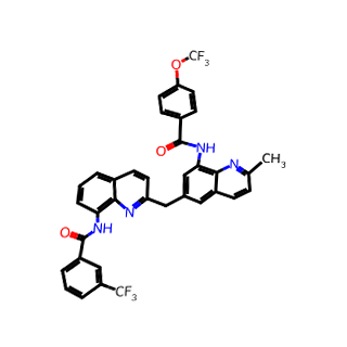 Cc1ccc2cc(Cc3ccc4cccc(NC(=O)c5cccc(C(F)(F)F)c5)c4n3)cc(NC(=O)c3ccc(OC(F)(F)F)cc3)c2n1